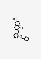 C[C@@H]1C(O)CC[C@]2(C)C(=O)/C(=C/c3ccccc3OCc3ccccc3)CCC12